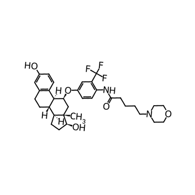 C[C@]12C[C@H](Oc3ccc(NC(=O)CCCCN4CCOCC4)c(C(F)(F)F)c3)[C@@H]3c4ccc(O)cc4CC[C@H]3[C@@H]1CC[C@@H]2O